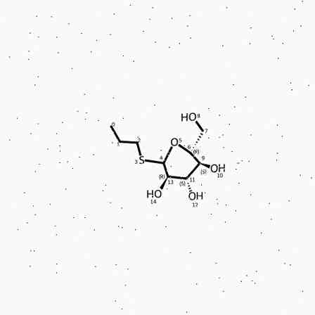 CCCSC1O[C@H](CO)[C@@H](O)[C@H](O)[C@H]1O